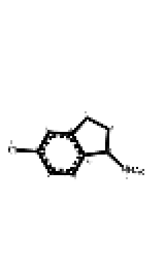 CC(=O)NC1CCc2cc(Cl)ccc21